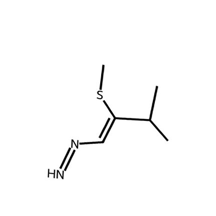 CS/C(=C\N=N)C(C)C